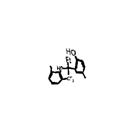 CCC(C)(Pc1c(C)cccc1C(F)(F)F)c1cc(C)ccc1O